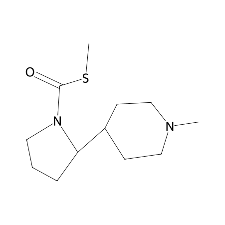 CSC(=O)N1CCCC1C1CCN(C)CC1